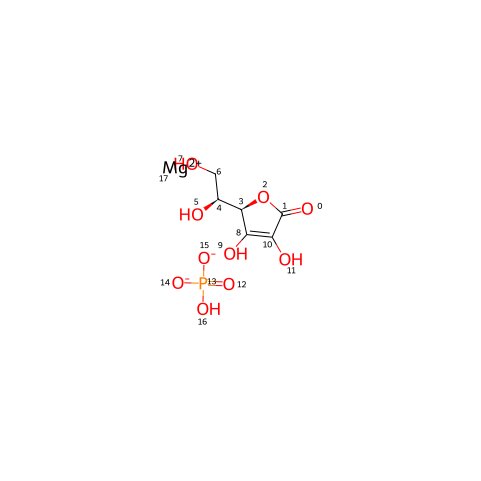 O=C1O[C@H]([C@@H](O)CO)C(O)=C1O.O=P([O-])([O-])O.[Mg+2]